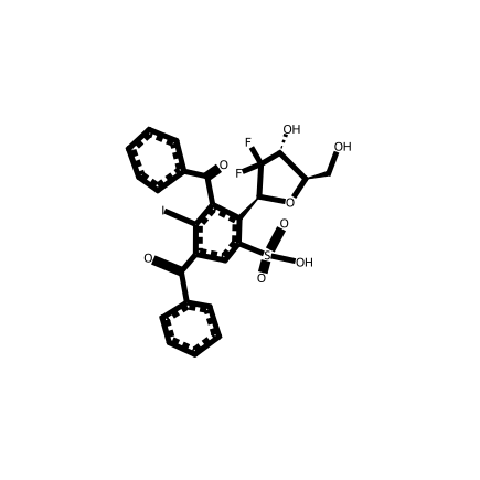 O=C(c1ccccc1)c1cc(S(=O)(=O)O)c([C@@H]2O[C@H](CO)[C@@H](O)C2(F)F)c(C(=O)c2ccccc2)c1I